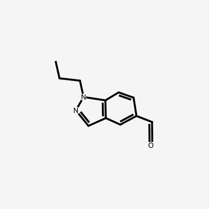 CCCn1ncc2cc(C=O)ccc21